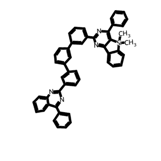 C[Si]1(C)c2ccccc2-c2nc(-c3cccc(-c4cccc(-c5cccc(-c6nc(-c7ccccc7)c7ccccc7n6)c5)c4)c3)nc(-c3ccccc3)c21